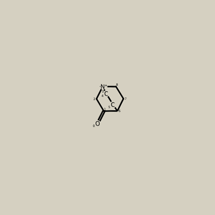 O=C1C[N+]2CCC1CC2